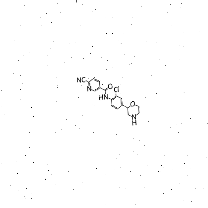 N#Cc1ccc(C(=O)Nc2ccc(C3CNCCO3)cc2Cl)cn1